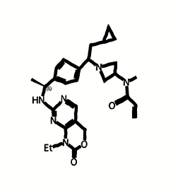 C=CC(=O)N(C)C1CN(C(CC2CC2)c2ccc([C@H](C)Nc3ncc4c(n3)N(CC)C(=O)OC4)cc2)C1